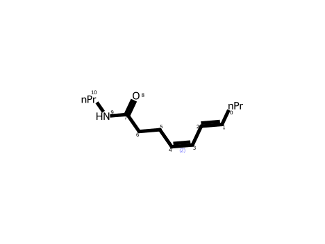 CCCC=C/C=C\CCC(=O)NCCC